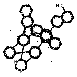 Cc1cccc2cc(-c3c4ccccc4c(-c4ccc5c(c4)C4(c6ccccc6-c6cc7c8cc9ccccc9cc8n(-c8ccccc8)c7cc64)c4ncncc4-5)c4ccccc34)ccc12